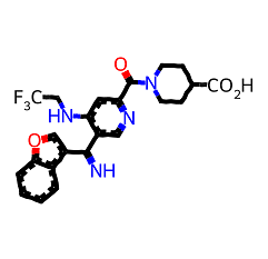 N=C(c1cnc(C(=O)N2CCC(C(=O)O)CC2)cc1NCC(F)(F)F)c1coc2ccccc12